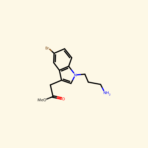 COC(=O)Cc1cn(CCCN)c2ccc(Br)cc12